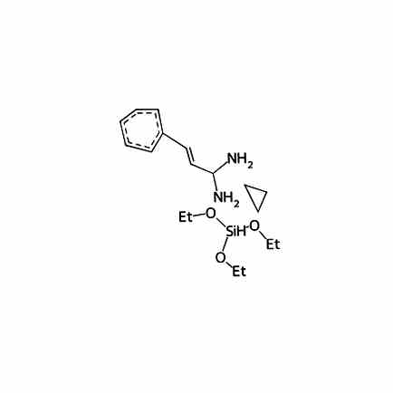 C1CC1.CCO[SiH](OCC)OCC.NC(N)C=Cc1ccccc1